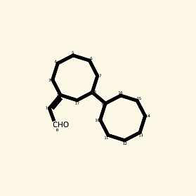 O=C/C=C1/CCCCCC(C2CCCCCCC2)C1